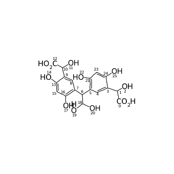 O=C(O)C(O)c1cc(C(c2cc(C(O)C(=O)O)c(O)cc2O)C(O)O)c(O)cc1O